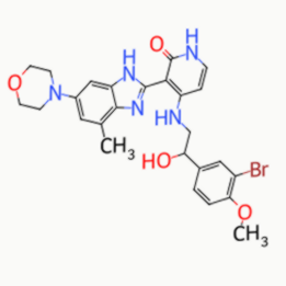 COc1ccc(C(O)CNc2cc[nH]c(=O)c2-c2nc3c(C)cc(N4CCOCC4)cc3[nH]2)cc1Br